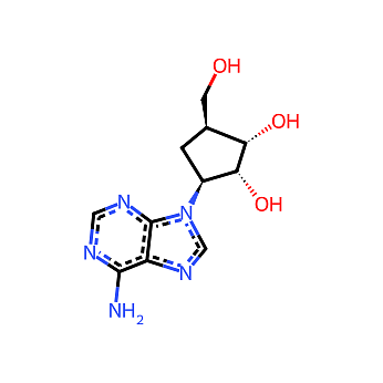 Nc1ncnc2c1ncn2[C@H]1C[C@@H](CO)[C@H](O)[C@@H]1O